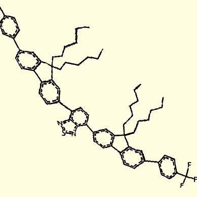 CCCCCCC1(CCCCCC)c2cc(-c3ccc(C)cc3)ccc2-c2ccc(-c3ccc(-c4ccc5c(c4)C(CCCCCC)(CCCCCC)c4cc(-c6ccc(C(F)(F)F)cc6)ccc4-5)c4nsnc34)cc21